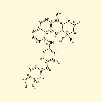 CCOc1ncc2ncnc(Nc3ccc(Oc4ccc5ccnn5c4)c(C)c3)c2c1O[C@@H]1CCN(C)CC1(F)F